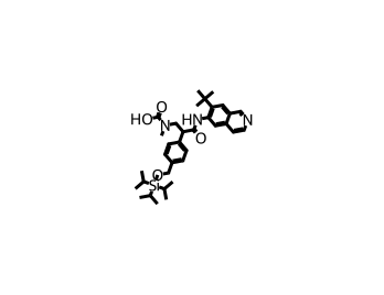 CC(C)[Si](OCc1ccc(C(CN(C)C(=O)O)C(=O)Nc2cc3ccncc3cc2C(C)(C)C)cc1)(C(C)C)C(C)C